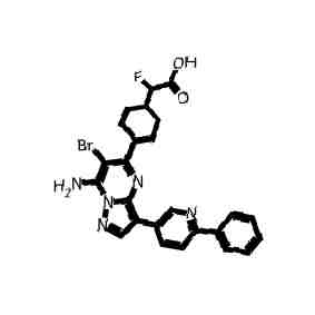 Nc1c(Br)c(C2CCC(C(F)C(=O)O)CC2)nc2c(-c3ccc(-c4ccccc4)nc3)cnn12